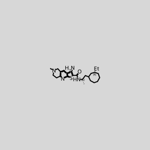 CC[C@@H]1CCCCCC(C[C@H](C)NC(=O)c2sc3nc4c(cc3c2N)CN(C)CC4)C1